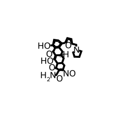 NC(=O)C1=C(N=O)CC2C[C@@H]3Cc4c(-c5ccc(CN6CCCC6)o5)ccc(O)c4C(=O)C3=C(O)C2C1=O